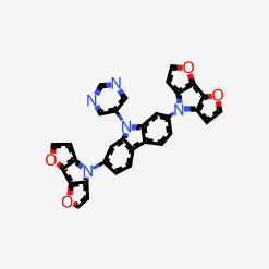 c1ncc(-n2c3cc(-n4c5ccoc5c5occc54)ccc3c3ccc(-n4c5ccoc5c5occc54)cc32)cn1